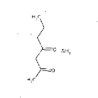 CCCC(=O)CC(C)=O.[AlH3]